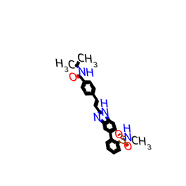 CNS(=O)(=O)c1ccccc1-c1ccc2[nH]c(/C=C/c3ccc(C(=O)NC(C)C)cc3)nc2c1